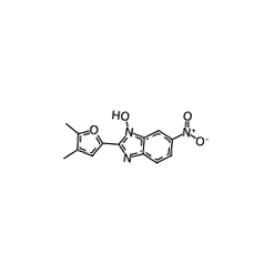 Cc1cc(-c2nc3ccc([N+](=O)[O-])cc3n2O)oc1C